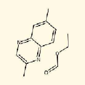 CCOC=O.Cc1ccc2nc(C)cnc2c1